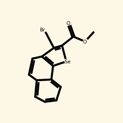 COC(=O)c1[se]c2c(ccc3ccccc32)c1Br